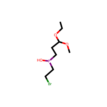 CCOC(CCP(O)CCBr)OC